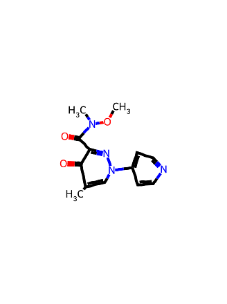 CON(C)C(=O)c1nn(-c2ccncc2)cc(C)c1=O